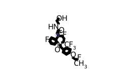 CC(F)COc1ccc(C(=O)N2CCC(F)(F)/C(=C\C(=O)NCCO)c3cc(F)ccc32)c(C(F)(F)F)c1